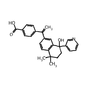 C=C(c1ccc(C(=O)O)cc1)c1ccc2c(c1)C(O)(c1cccnc1)CCC2(C)C